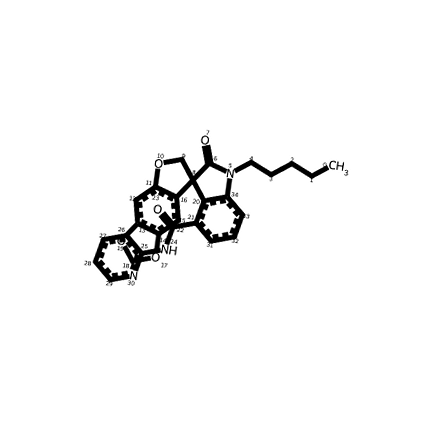 CCCCCN1C(=O)C2(COc3cc4c(cc32)OCO4)c2c(C(=O)Nc3ccccn3)cccc21